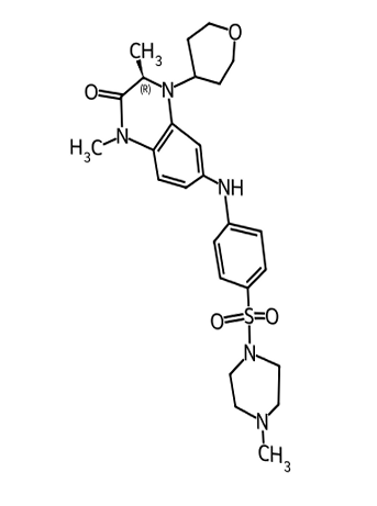 C[C@@H]1C(=O)N(C)c2ccc(Nc3ccc(S(=O)(=O)N4CCN(C)CC4)cc3)cc2N1C1CCOCC1